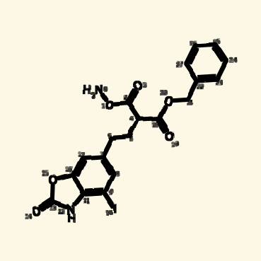 NOC(=O)[C@H](CCc1cc(I)c2[nH]c(=O)oc2c1)C(=O)OCc1ccccc1